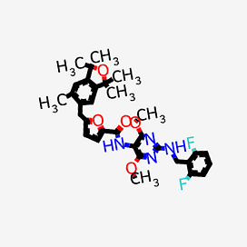 COc1nc(NCc2c(F)cccc2F)nc(OC)c1NC(=O)c1ccc(Cc2cc3c(cc2C)C(C)(C)OC3(C)C)o1